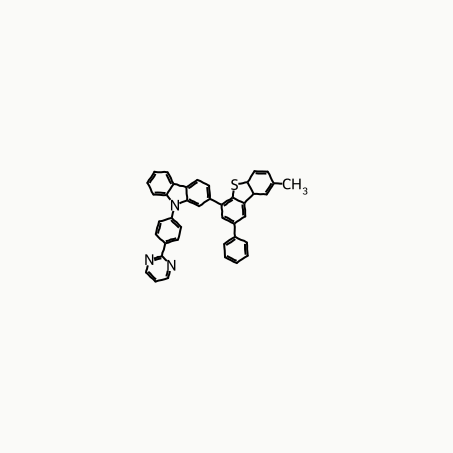 CC1=CC2c3cc(-c4ccccc4)cc(-c4ccc5c6ccccc6n(-c6ccc(-c7ncccn7)cc6)c5c4)c3SC2C=C1